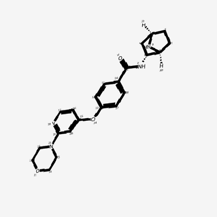 O=C(N[C@@H]1C[C@H]2CC[C@@H]1N2)c1ccc(Oc2ccnc(N3CCOCC3)c2)cc1